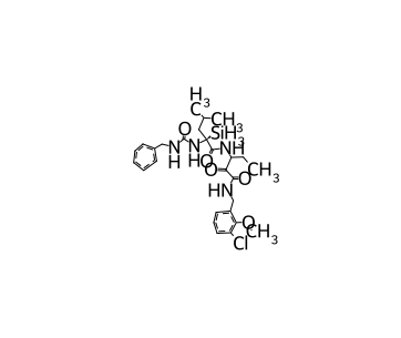 CCC(NC(=O)[C@@]([SiH3])(CC(C)C)NC(=O)NCc1ccccc1)C(=O)C(=O)NCc1cccc(Cl)c1OC